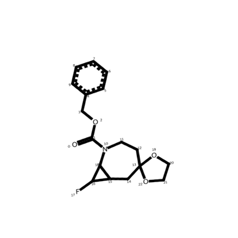 O=C(OCc1ccccc1)N1CCC2(CC3C(F)C31)OCCO2